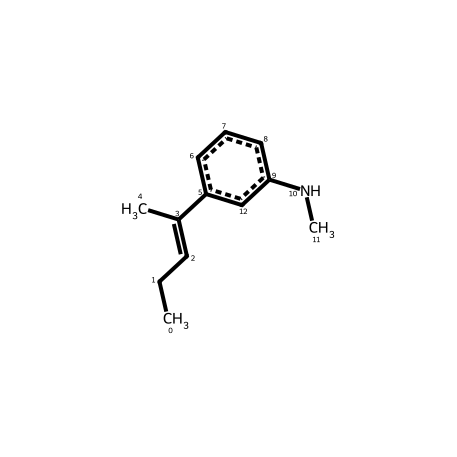 CCC=C(C)c1cccc(NC)c1